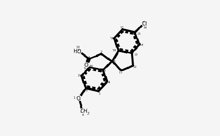 COc1ccc(C2(CC(=O)O)CCc3cc(Cl)ccc32)cc1